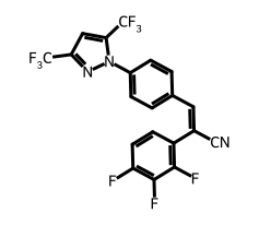 N#CC(=Cc1ccc(-n2nc(C(F)(F)F)cc2C(F)(F)F)cc1)c1ccc(F)c(F)c1F